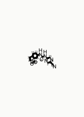 N#Cc1cnc(NC(=O)Nc2ccc3c(c2)S(=O)(=O)C=C3)cn1